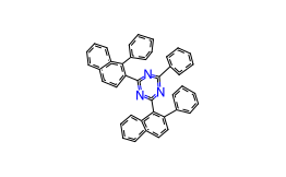 c1ccc(-c2nc(-c3ccc4ccccc4c3-c3ccccc3)nc(-c3c(-c4ccccc4)ccc4ccccc34)n2)cc1